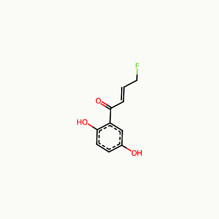 O=C(/C=C/CF)c1cc(O)ccc1O